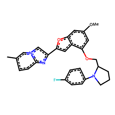 COc1cc(OCC2CCCN2c2ccc(F)cc2)c2cc(-c3cn4cc(C)ccc4n3)oc2c1